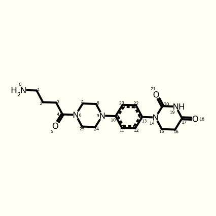 NCCCC(=O)N1CCN(c2ccc(N3CCC(=O)NC3=O)cc2)CC1